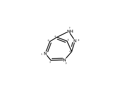 C1=NC=Nc2cc1[nH]n2